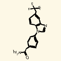 NC(=O)c1ccc(-n2cnc3cc(C(F)(F)F)ccc32)cc1